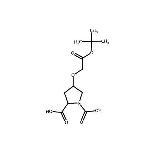 CC(C)(C)OC(=O)COC1CC(C(=O)O)N(C(=O)O)C1